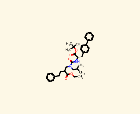 CCOC(=O)C(CCc1ccccc1)CN(CC(C)C)C(=O)N[C@@H](Cc1ccc(-c2ccccc2)cc1)C(=O)OC(C)(C)C